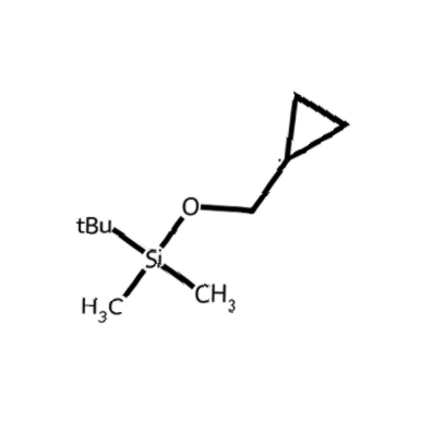 CC(C)(C)[Si](C)(C)OC[C]1CC1